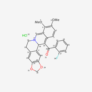 COc1ccc2c(c1OC)=CN1CCc3cc4c(cc3C1C=2C(=O)c1ccccc1F)OCO4.Cl